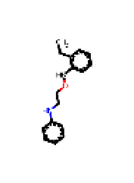 [CH2]Cc1ccccc1BOCCNc1ccccc1